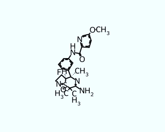 COc1ccc(C(=O)Nc2ccc(F)c([C@@]3(C)N=C(N)C(C)(C)S4(=O)=NCC[C@@H]34)c2)nc1